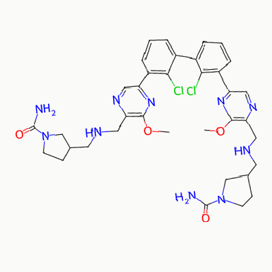 COc1nc(-c2cccc(-c3cccc(-c4cnc(CNCC5CCN(C(N)=O)C5)c(OC)n4)c3Cl)c2Cl)cnc1CNCC1CCN(C(N)=O)C1